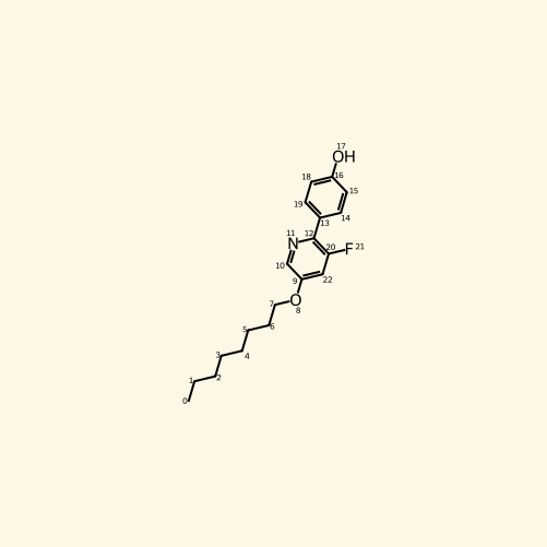 CCCCCCCCOc1cnc(-c2ccc(O)cc2)c(F)c1